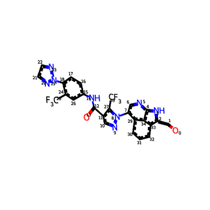 O=C=c1[nH]c2ncc(-n3ncc(C(=O)Nc4ccc(-n5nccn5)c(C(F)(F)F)c4)c3C(F)(F)F)c3cccc1c23